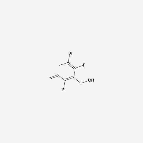 C=C/C(F)=C(CO)\C(F)=C(/C)Br